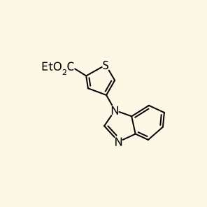 CCOC(=O)c1cc(-n2cnc3ccccc32)cs1